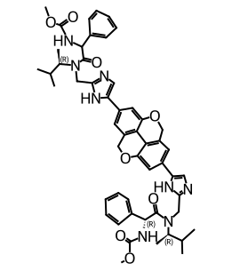 COC(=O)NC(C(=O)N(Cc1ncc(-c2cc3c4c(c2)OCc2cc(-c5cnc(CN(C(=O)[C@H](NC(=O)OC)c6ccccc6)[C@H](C)C(C)C)[nH]5)cc(c2-4)OC3)[nH]1)[C@H](C)C(C)C)c1ccccc1